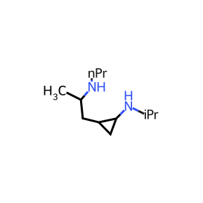 CCCNC(C)CC1CC1NC(C)C